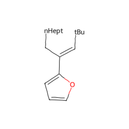 CCCCCCCC/C(=C\C(C)(C)C)c1ccco1